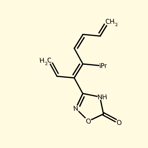 C=C/C=C\C(=C(/C=C)c1noc(=O)[nH]1)C(C)C